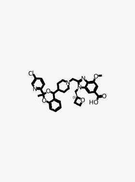 COc1cc(C(=O)O)cc2c1nc(CN1CCC(C3OC(C)(c4ccc(Cl)cn4)Oc4ccccc43)CC1)n2C[C@@H]1CCO1